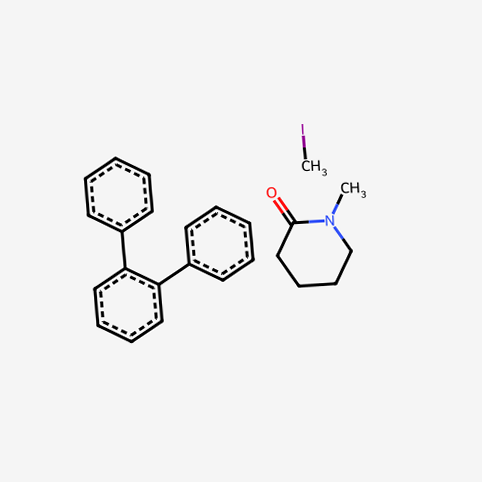 CI.CN1CCCCC1=O.c1ccc(-c2ccccc2-c2ccccc2)cc1